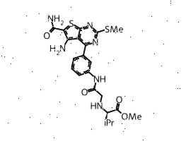 COC(=O)[C@H](NCC(=O)Nc1cccc(-c2nc(SC)nc3sc(C(N)=O)c(N)c23)c1)C(C)C